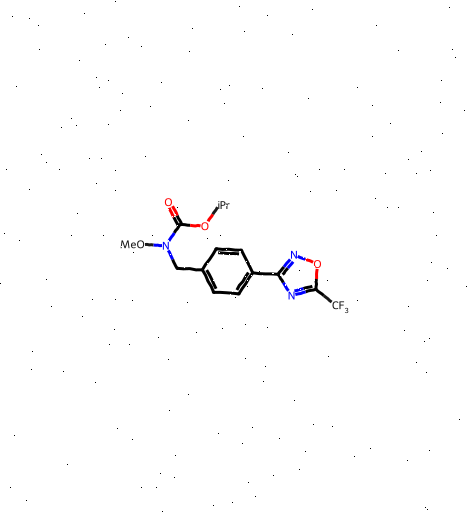 CON(Cc1ccc(-c2noc(C(F)(F)F)n2)cc1)C(=O)OC(C)C